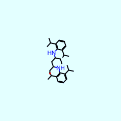 CCC(CC(CC)Nc1c(C(C)C)cccc1C(C)C)Nc1c(C(C)C)cccc1C(C)C